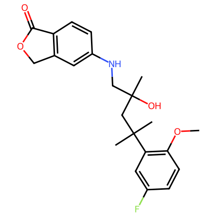 COc1ccc(F)cc1C(C)(C)CC(C)(O)CNc1ccc2c(c1)COC2=O